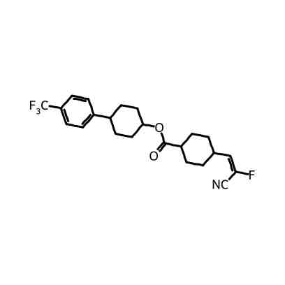 N#C/C(F)=C\C1CCC(C(=O)OC2CCC(c3ccc(C(F)(F)F)cc3)CC2)CC1